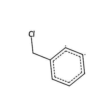 ClCc1[c][c]ccc1